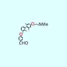 CNCCCOc1cc(C)c(-c2cccc(COc3ccc(C=O)cc3)c2C)c(C)c1